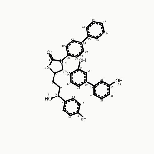 O=C1S[C@H](CC[C@H](O)c2ccc(F)cc2)[C@@H](c2ccc(-c3cccc(O)c3)cc2O)N1c1ccc(-c2ccccc2)cc1